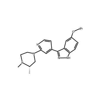 CC(C)Oc1ccc2[nH]nc(-c3ccnc(N4CCN(C)[C@@H](C)C4)c3)c2c1